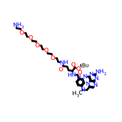 CN(Cc1cnc2nc(N)nc(N)c2n1)c1ccc(C(=O)NC(CCC(=O)NCCOCCOCCOCCOCCOCCN)C(=O)OC(C)(C)C)cc1